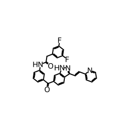 O=C(Cc1cc(F)cc(F)c1)Nc1cccc(C(=O)c2ccc3c(/C=C/c4ccccn4)n[nH]c3c2)c1